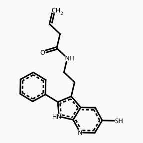 C=CCC(=O)NCCc1c(-c2ccccc2)[nH]c2ncc(S)cc12